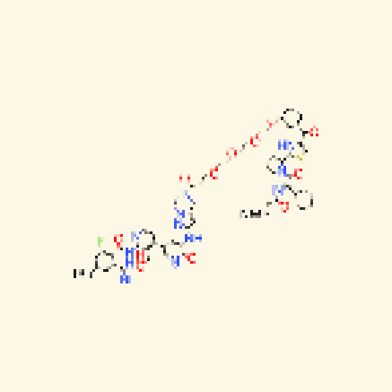 CNCC(=O)N[C@@H](C(=O)N1CCCC1C1NC(C(=O)c2cccc(OCCOCCOCCOCCC(=O)N3CCn4nc(Nc5cc(-c6ccnc(NC(=O)c7c(F)cc(C(C)(C)C)cc7C=N)c6CO)cn(C)c5=O)cc4C3)c2)=CS1)C1CCCCC1